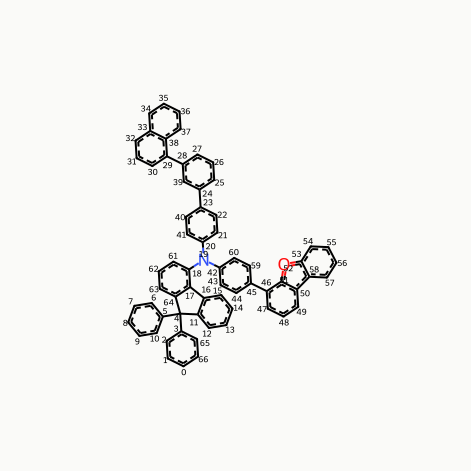 c1ccc(C2(c3ccccc3)c3ccccc3-c3c(N(c4ccc(-c5cccc(-c6cccc7ccccc67)c5)cc4)c4ccc(-c5cccc6c5oc5ccccc56)cc4)cccc32)cc1